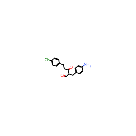 Nc1ccc(CC([C]=O)C(=O)CCc2ccc(Cl)cc2)cc1